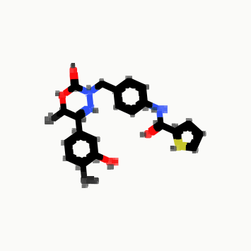 CCC1OC(=O)N(Cc2ccc(NC(=O)c3cccs3)cc2)N=C1c1ccc(OC)c(O)c1